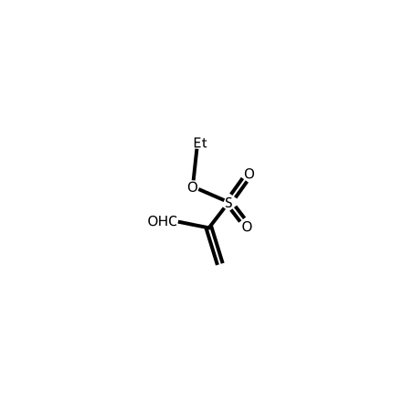 C=C(C=O)S(=O)(=O)OCC